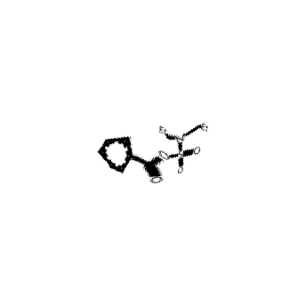 CCN(CC)S(=O)(=O)OC(=O)c1ccccc1